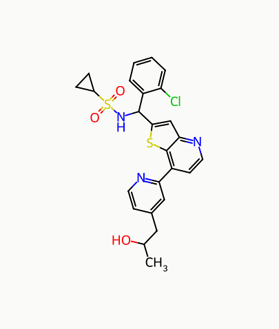 CC(O)Cc1ccnc(-c2ccnc3cc(C(NS(=O)(=O)C4CC4)c4ccccc4Cl)sc23)c1